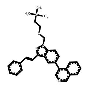 C[Si](C)(C)CCOCn1nc(C=Cc2ccccc2)c2cc(-c3cncc4ccccc34)ccc21